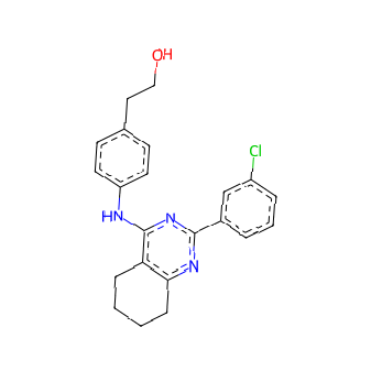 OCCc1ccc(Nc2nc(-c3cccc(Cl)c3)nc3c2CCCC3)cc1